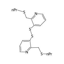 CCCSCc1ncccc1SSc1cccnc1CSCCC